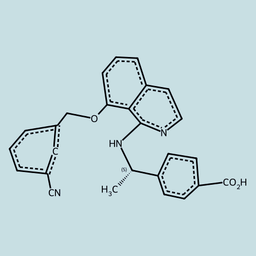 C[C@H](Nc1nccc2cccc(OCc3cccc(C#N)c3)c12)c1ccc(C(=O)O)cc1